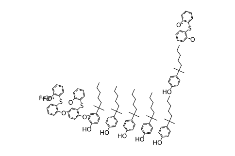 CCCCCC(C)(C)c1ccc(O)cc1.CCCCCC(C)(C)c1ccc(O)cc1.CCCCCC(C)(C)c1ccc(O)cc1.CCCCCC(C)(C)c1ccc(O)cc1.CCCCCC(C)(C)c1ccc(O)cc1.CCCCCC(C)(C)c1ccc(O)cc1.[Fe+3].[Fe+3].[O-]c1ccccc1Sc1ccccc1[O-].[O-]c1ccccc1Sc1ccccc1[O-].[O-]c1ccccc1Sc1ccccc1[O-]